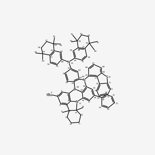 CC(C)(C)c1cc2c3c(c1)C1(C)CCCCC1(C)N3c1cc(-c3ccccc3)cc3c1B2c1ccc(N(c2ccc4c(c2)C(C)(C)CCC4(C)C)c2ccc4c(c2)C(C)(C)CCC4(C)C)cc1N3c1cccc2sc3ccccc3c12